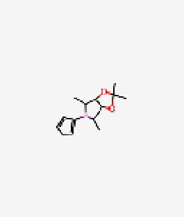 CC1C2OC(C)(C)OC2C(C)P1C1=CCC=C1